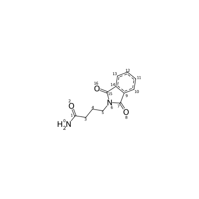 NC(=O)CCCN1C(=O)c2ccccc2C1=O